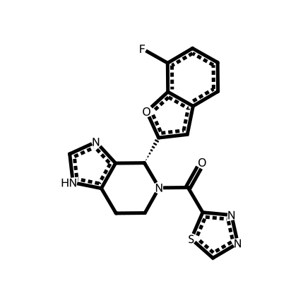 O=C(c1nncs1)N1CCc2[nH]cnc2[C@@H]1c1cc2cccc(F)c2o1